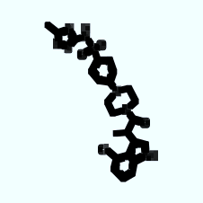 Cc1nsc(NS(=O)(=O)c2ccc(N3CCN(C(=O)C(C)c4c[nH]c5cccc(Cl)c45)CC3)cc2)n1